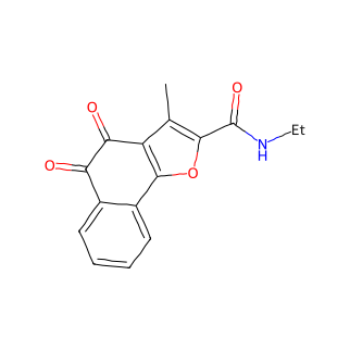 CCNC(=O)c1oc2c(c1C)C(=O)C(=O)c1ccccc1-2